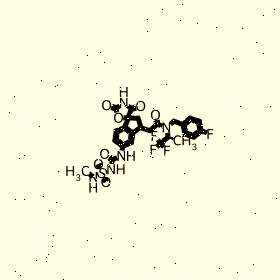 CNS(=O)(=O)NC(=O)Nc1ccc2c(c1)C(CC(=O)N(Cc1ccc(F)cc1)[C@@H](C)C(F)(F)F)CC21OC(=O)NC1=O